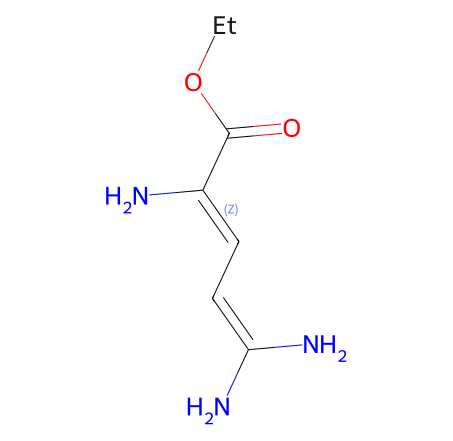 CCOC(=O)/C(N)=C/C=C(N)N